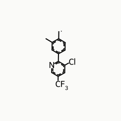 [CH2]c1ccc(-c2ncc(C(F)(F)F)cc2Cl)cc1C